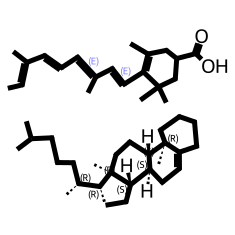 CC(C)CCC[C@@H](C)[C@H]1CC[C@H]2[C@@H]3CC=C4CCCC[C@]4(C)[C@H]3CC[C@]12C.CC=C(C)C=C/C=C(C)/C=C/C1=C(C)CC(C(=O)O)CC1(C)C